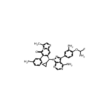 Cc1csc2cc([C@H](C3CC3)n3nc(-c4ccc(OC(F)P)c(P)c4)c4c(N)ncnc43)c(-c3cccc(P)c3)c(=O)n12